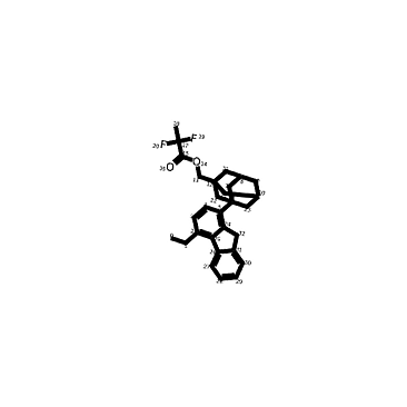 CCc1ccc(C23CC4CC(CC(COC(=O)C(C)(F)F)(C4)C2)C3)c2c1-c1ccccc1C2